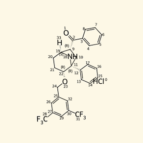 Cl.O=C(c1ccccc1)[C@@H]1C[C@]2(c3ccccc3)N[C@H]1CC[C@H]2OCc1cc(C(F)(F)F)cc(C(F)(F)F)c1